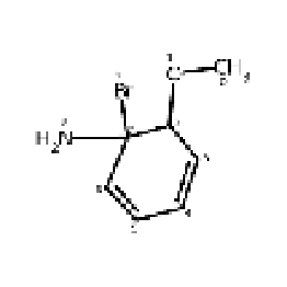 COC1C=CC=CC1(N)Br